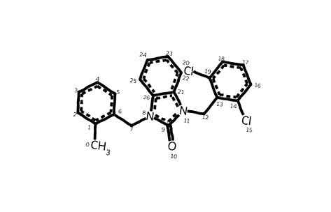 Cc1ccccc1Cn1c(=O)n(Cc2c(Cl)cccc2Cl)c2ccccc21